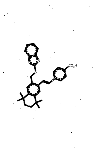 CC1(C)CCC(C)(C)c2cc(CSc3nc4ccccc4s3)c(/C=C/c3ccc(C(=O)O)cc3)cc21